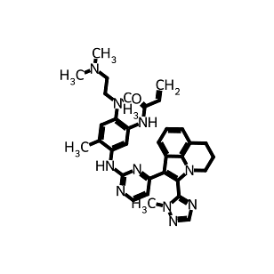 C=CC(=O)Nc1cc(Nc2nccc(-c3c(-c4ncnn4C)n4c5c(cccc35)CCC4)n2)c(C)cc1N(C)CCN(C)C